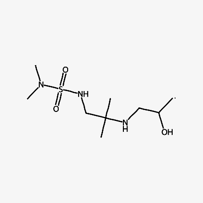 [CH2]C(O)CNC(C)(C)CNS(=O)(=O)N(C)C